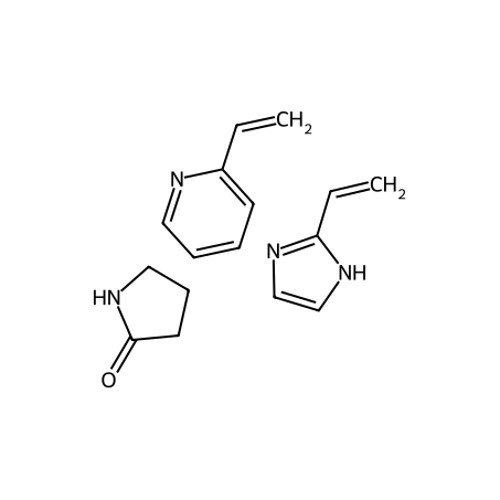 C=Cc1ccccn1.C=Cc1ncc[nH]1.O=C1CCCN1